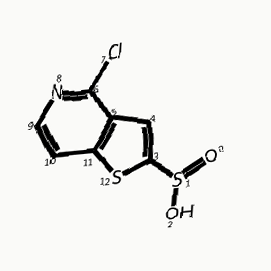 O=S(O)c1cc2c(Cl)nccc2s1